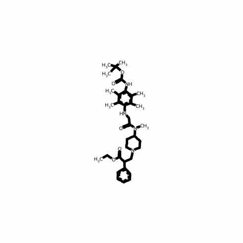 CCOC(=O)C(CN1CCC(N(C)C(=O)CNc2c(C)c(C)c(NC(=O)OC(C)(C)C)c(C)c2C)CC1)c1ccccc1